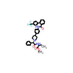 CCC(NC(=O)C(c1ccccc1)N1CCC(c2ccc(NC(=O)c3ccccc3-c3ccc(C(F)(F)F)cc3)cc2)CC1)C(=O)OC